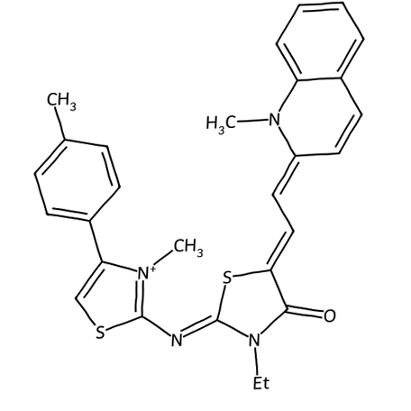 CCN1C(=O)/C(=C/C=C2\C=Cc3ccccc3N2C)S/C1=N\c1scc(-c2ccc(C)cc2)[n+]1C